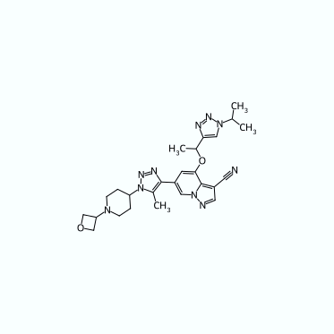 Cc1c(-c2cc(OC(C)c3cn(C(C)C)nn3)c3c(C#N)cnn3c2)nnn1C1CCN(C2COC2)CC1